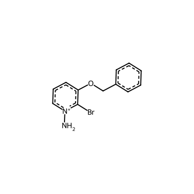 N[n+]1cccc(OCc2ccccc2)c1Br